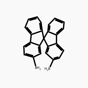 Bc1ccc2c(c1)C1(c3ccccc3-2)c2ccccc2-c2ccc(B)cc21